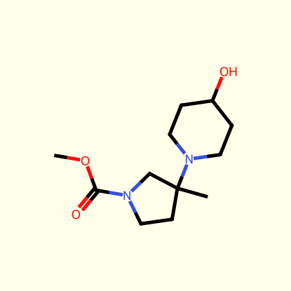 COC(=O)N1CCC(C)(N2CCC(O)CC2)C1